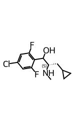 CN[C@@H](CC1CC1)C(O)c1c(F)cc(Cl)cc1F